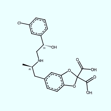 C[C@H](Cc1ccc2c(c1)OC(C(=O)O)(C(=O)O)O2)NC[C@@H](O)c1cccc(Cl)c1